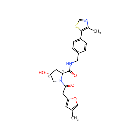 Cc1coc(CC(=O)N2C[C@H](O)C[C@H]2C(=O)NCc2ccc(-c3scnc3C)cc2)c1